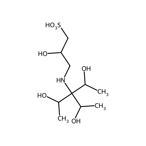 CC(O)C(NCC(O)CS(=O)(=O)O)(C(C)O)C(C)O